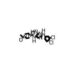 CNc1nc(Nc2ccc(Cl)c(Cl)c2)ncc1NC(=O)N1CCN(C(C)=O)CC1